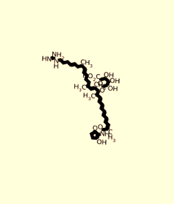 CC(=CC=CC=CC=CC=CC(C)C(OC1OC(C(=O)O)C(O)C(O)C1O)C(C)=CC(C)CCCC=CC(C)CC=CCCCNC(=N)N)C(=O)NC1=C(O)CCC1=O